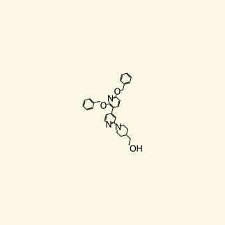 OCCC1CCN(c2cc(-c3ccc(OCc4ccccc4)nc3OCc3ccccc3)ccn2)CC1